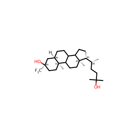 C[C@H](CCC(C)(C)O)[C@H]1CCC2C3CC[C@@H]4C[C@@](O)(C(F)(F)F)CC[C@]4(C)C3CC[C@@]21C